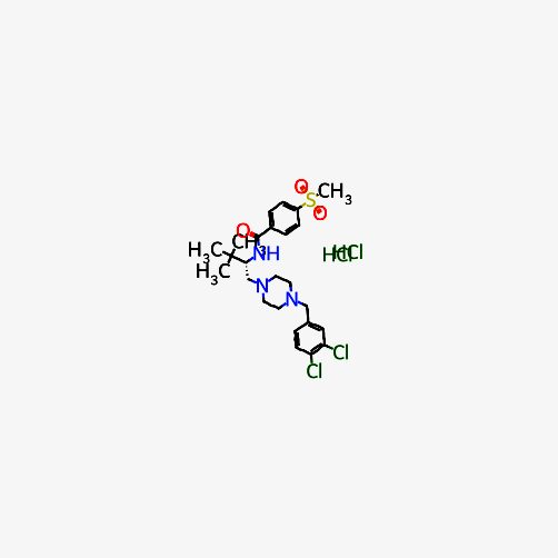 CC(C)(C)[C@@H](CN1CCN(Cc2ccc(Cl)c(Cl)c2)CC1)NC(=O)c1ccc(S(C)(=O)=O)cc1.Cl.Cl